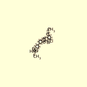 CCCNS(=O)(=O)c1ccc(-c2ccc(CN(Cc3cc(Cl)ccc3OCCC)C(=O)CBr)cc2)cc1